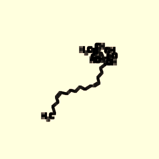 CCCC/C=C\CCCCCC/C=C\CCCCC(O)(C[N+](C)(C)C)P(=O)(O)O